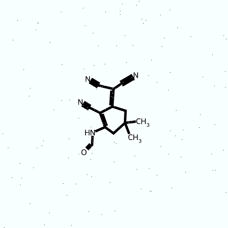 CC1(C)CC(NC=O)=C(C#N)C(=C(C#N)C#N)C1